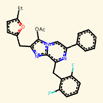 CCc1ccc(Cc2nc3c(Cc4c(F)cccc4F)nc(-c4ccccc4)cn3c2OC(C)=O)o1